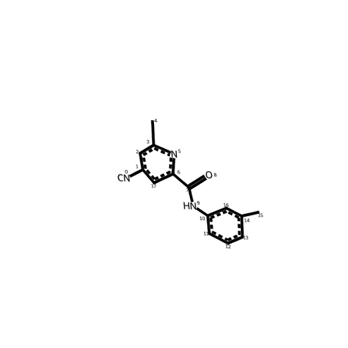 [C-]#[N+]c1cc(C)nc(C(=O)Nc2cccc(C)c2)c1